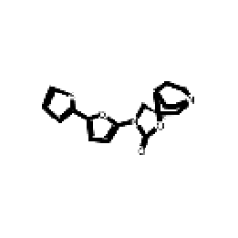 O=C1O[C@]2(CN3CCC2CC3)CN1c1ccc(-c2cccs2)o1